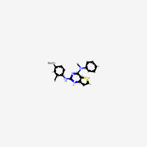 COc1ccc(Nc2nc(N(C)c3ccccc3)c3sccc3n2)c(C)c1